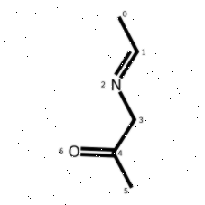 C/C=N/CC(C)=O